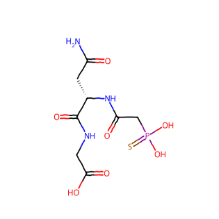 NC(=O)C[C@H](NC(=O)CP(O)(O)=S)C(=O)NCC(=O)O